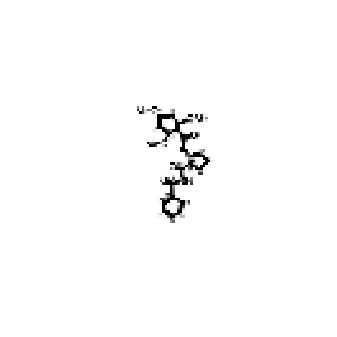 COc1cc(OC)c(C(=O)CN2CCC[C@H]2C(=O)NC(=O)c2ccccc2)c(OC)c1